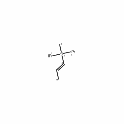 CC=C[Si](C)(C(C)C)C(C)C